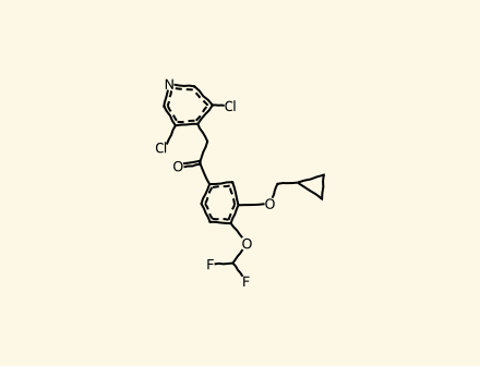 O=C(Cc1c(Cl)cncc1Cl)c1ccc(OC(F)F)c(OCC2CC2)c1